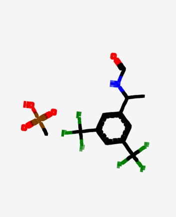 CC(NC=O)c1cc(C(F)(F)F)cc(C(F)(F)F)c1.CS(=O)(=O)O